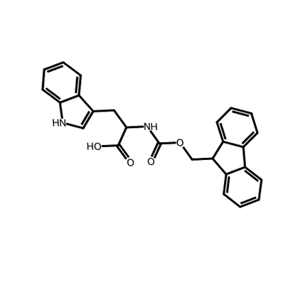 O=C(NC(Cc1c[nH]c2ccccc12)C(=O)O)OCC1c2ccccc2-c2ccccc21